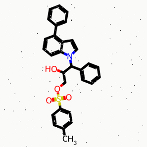 Cc1ccc(S(=O)(=O)OCC(O)C(c2ccccc2)n2ccc3c(-c4ccccc4)cccc32)cc1